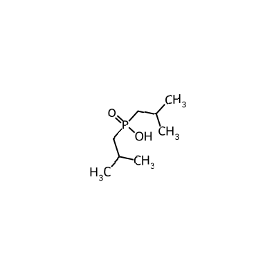 CC(C)CP(=O)(O)CC(C)C